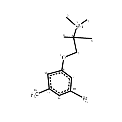 C[SiH](C)C(C)(C)COc1cc(Br)cc(C(F)(F)F)c1